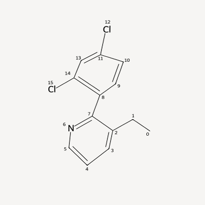 CCc1cccnc1-c1ccc(Cl)cc1Cl